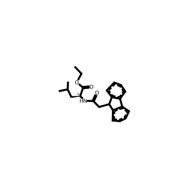 CCOC(=O)[C@H](CC(C)C)NC(=O)CC1c2ccccc2-c2ccccc21